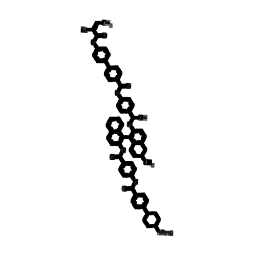 C/C=C(/CC)C(=O)Oc1ccc(-c2ccc(C(=O)Oc3ccc(C(O)Oc4ccc5c(c4-c4c(OC(=O)c6ccc(OC(=O)c7ccc(C8CCC(CCCCC)CC8)cc7)cc6)ccc6ccccc46)C=CC(C)C5)cc3)cc2)cc1